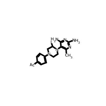 CC(=O)c1ccc(N2CCN(c3c(C)nc(N)nc3N)C(I)C2)cc1